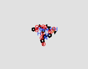 C=C[C@@H]1C[C@]1(NC(=O)[C@@H]1C[C@@H](Oc2cc(-c3ccccc3)nc3c2oc2ccc(OC)cc23)CN1C(=O)[C@@H](NC(=O)OC1CCCC1)C(C)(C)C)C(=O)NS(=O)(=O)C1CC1